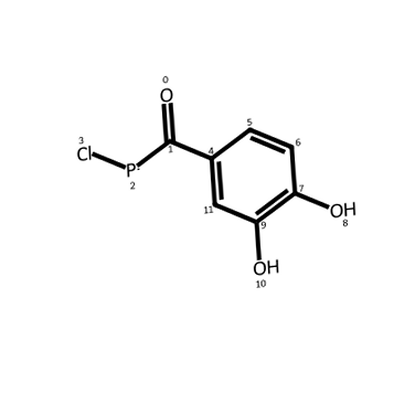 O=C([P]Cl)c1ccc(O)c(O)c1